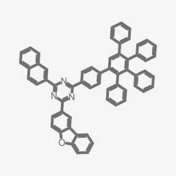 c1ccc(-c2cc(-c3ccc(-c4nc(-c5ccc6ccccc6c5)nc(-c5ccc6oc7ccccc7c6c5)n4)cc3)c(-c3ccccc3)c(-c3ccccc3)c2-c2ccccc2)cc1